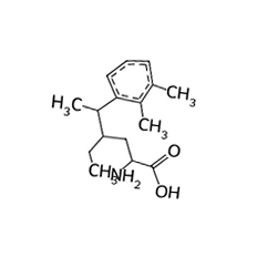 CCC(CC(N)C(=O)O)C(C)c1cccc(C)c1C